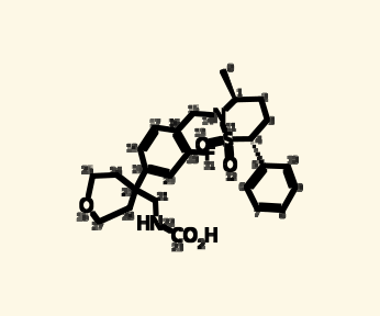 C[C@H]1CC[C@H](c2ccccc2)S(=O)(=O)N1Cc1ccc(C2(CNC(=O)O)CCOCC2)cc1F